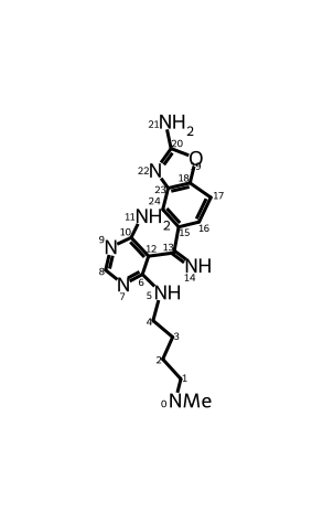 CNCCCCNc1ncnc(N)c1C(=N)c1ccc2oc(N)nc2c1